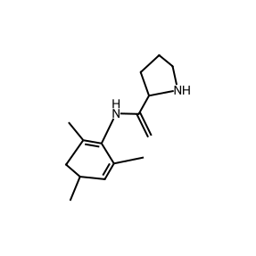 C=C(NC1=C(C)CC(C)C=C1C)C1CCCN1